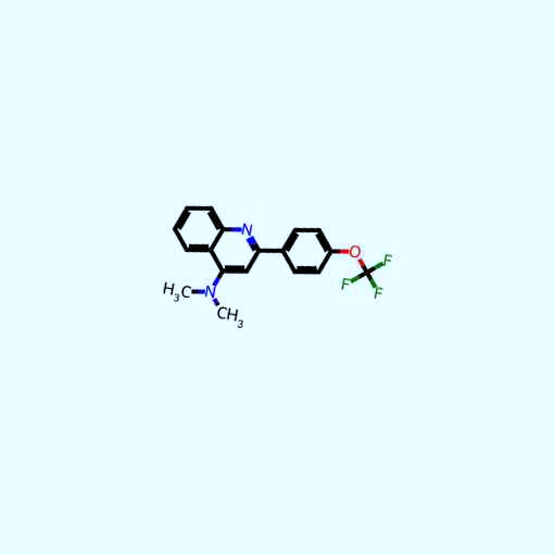 CN(C)c1cc(-c2ccc(OC(F)(F)F)cc2)nc2ccccc12